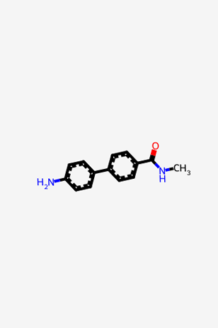 CNC(=O)c1ccc(-c2ccc(N)cc2)cc1